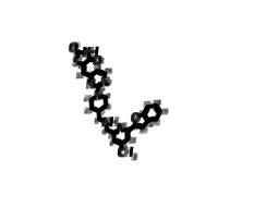 Cc1cc(CNCC2CCN(c3nccc(/C=C4/SC(=O)NC4=O)n3)CC2)nc(-c2cc3ccccc3o2)c1